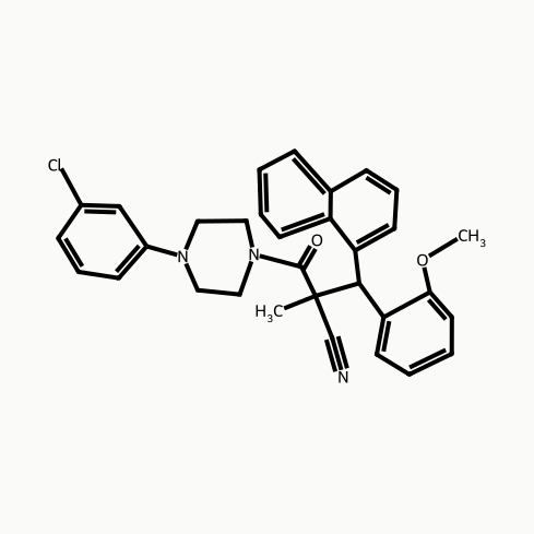 COc1ccccc1C(c1cccc2ccccc12)C(C)(C#N)C(=O)N1CCN(c2cccc(Cl)c2)CC1